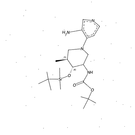 C[C@H]1CN(c2ccncc2N)CC(NC(=O)OC(C)(C)C)[C@@H]1O[Si](C)(C)C(C)(C)C